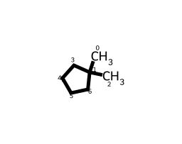 CC1(C)C[CH]CC1